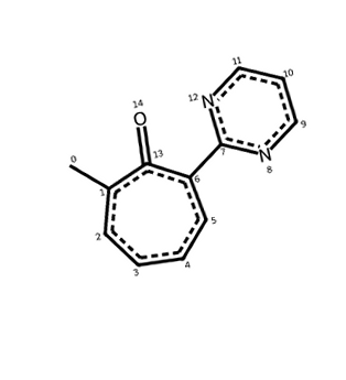 Cc1ccccc(-c2ncccn2)c1=O